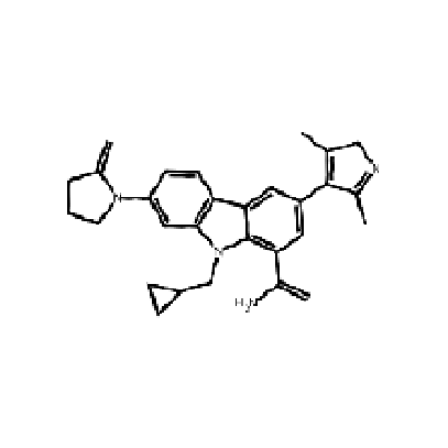 C=C(N)c1cc(C2=C(C)CN=C2C)cc2c3ccc(N4CCCC4=C)cc3n(CC3CC3)c12